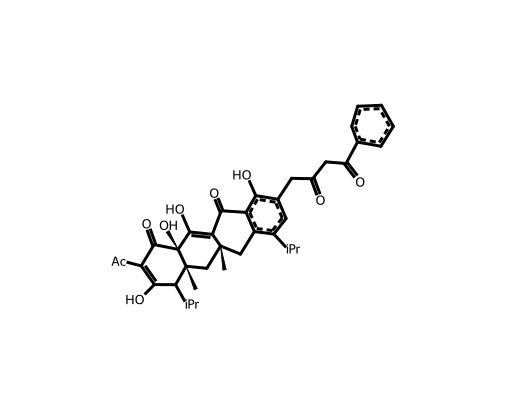 CC(=O)C1=C(O)C(C(C)C)[C@@]2(C)C[C@@]3(C)Cc4c(C(C)C)cc(CC(=O)CC(=O)c5ccccc5)c(O)c4C(=O)C3=C(O)[C@@]2(O)C1=O